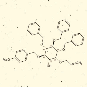 C=CCO[C@@H]1[C@H](O)[C@@H](OCc2ccc(OC)cc2)[C@H](OCc2ccccc2)[C@@H](OCc2ccccc2)[C@@H]1OCc1ccccc1